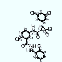 O=C(NNc1ncccc1Cl)c1cc(NC(=O)[C@H]2[C@H](c3cc(Cl)cc(Cl)c3)C2(Cl)Cl)ccc1Cl